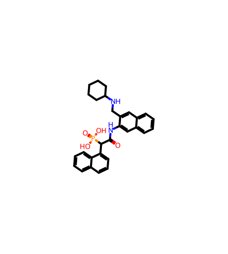 O=C(Nc1cc2ccccc2cc1CNC1CCCCC1)C(c1cccc2ccccc12)P(=O)(O)O